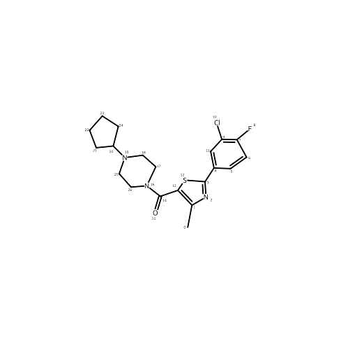 Cc1nc(-c2ccc(F)c(Cl)c2)sc1C(=O)N1CCN(C2CCCC2)CC1